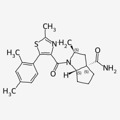 [CH2][C@H]1C[C@@]2(C(N)=O)CCC[C@@H]2N1C(=O)c1nc(C)sc1-c1ccc(C)cc1C